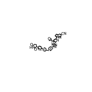 N#Cc1cnn2c(-c3cc(NC4COC4)c(-c4nnc(N5CCN(CC6CCN(c7ccc(C8CCC(=O)NC8=O)cn7)CC6)CC5)s4)cn3)ccc2c1